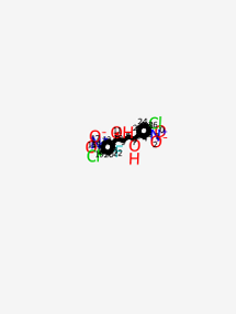 O=[N+]([O-])c1cc(C(O)CCC(O)c2cc([N+](=O)[O-])c(Cl)cc2F)ccc1Cl